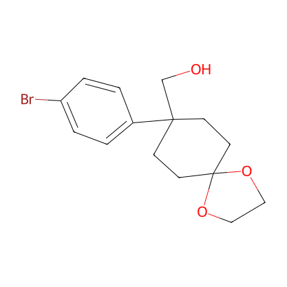 OCC1(c2ccc(Br)cc2)CCC2(CC1)OCCO2